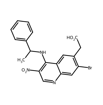 CC(Nc1c([N+](=O)[O-])cnc2cc(Br)c(CC(=O)O)cc12)c1ccccc1